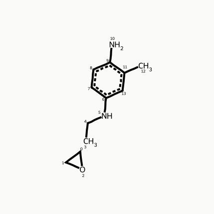 C1CO1.CCNc1ccc(N)c(C)c1